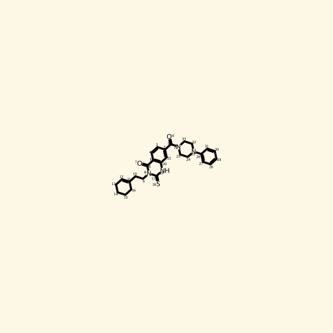 O=C(c1ccc2c(=O)n(CCC3=CCCCC3)c(=S)[nH]c2c1)N1CCN(c2ccccc2)CC1